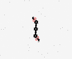 C=CC(=O)Oc1cccc(C#Cc2ccc(C#Cc3cccc(OC(=O)C=C)c3)cc2)c1